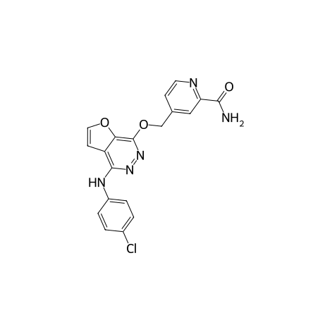 NC(=O)c1cc(COc2nnc(Nc3ccc(Cl)cc3)c3ccoc23)ccn1